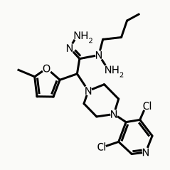 CCCCN(N)/C(=N\N)C(c1ccc(C)o1)N1CCN(c2c(Cl)cncc2Cl)CC1